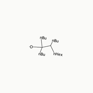 CCCCCCC(CCCC)C([O])(CCCC)CCCC